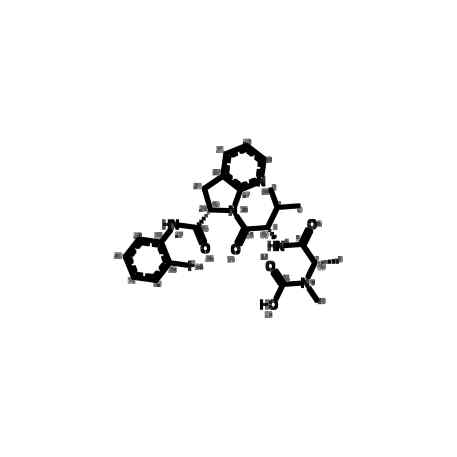 CC(C)[C@H](NC(=O)[C@H](C)N(C)C(=O)O)C(=O)N1c2ncccc2C[C@H]1C(=O)Nc1ccccc1F